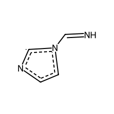 N=Cn1[c]ncc1